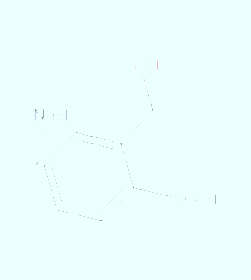 O=S(=O)(O)c1ccccc1CO.[NaH]